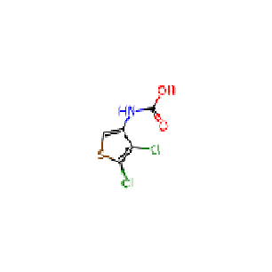 O=C(O)Nc1csc(Cl)c1Cl